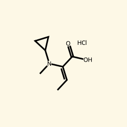 C/C=C(/C(=O)O)N(C)C1CC1.Cl